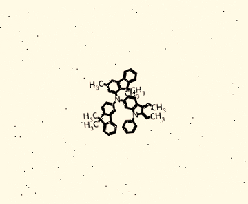 C/C=c1\c(=C/C)n(-c2ccccc2)c2cc(N(C3=CC(C)CC4=C3C(C)(C)c3ccccc34)c3ccc4c(c3)-c3ccccc3C4(C)C)ccc12